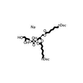 CCCCCCCCCCCCCCCC(=O)OC[C@H](COP(=O)(O)OCC(O)CO)OC(=O)CCCCCCCCCCCCCCC.[Na]